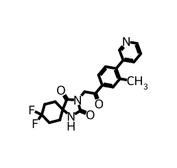 Cc1cc(C(=O)CN2C(=O)NC3(CCC(F)(F)CC3)C2=O)ccc1-c1cccnc1